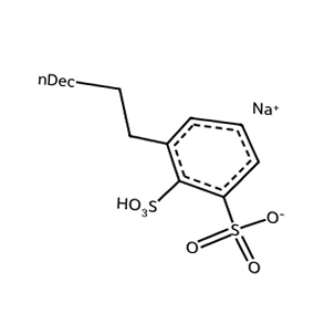 CCCCCCCCCCCCc1cccc(S(=O)(=O)[O-])c1S(=O)(=O)O.[Na+]